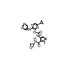 Cn1ncc(NC(=O)Oc2nc(C3CC3)cnc2Nc2cncnc2)c1C(=O)NC1COC1